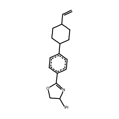 C=CC1CCC(c2ccc(C3=NC(C(C)C)CO3)cc2)CC1